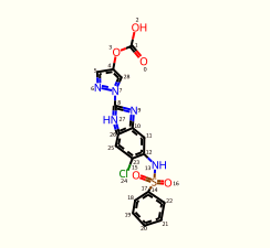 O=C(O)Oc1cnn(-c2nc3cc(NS(=O)(=O)c4ccccc4)c(Cl)cc3[nH]2)c1